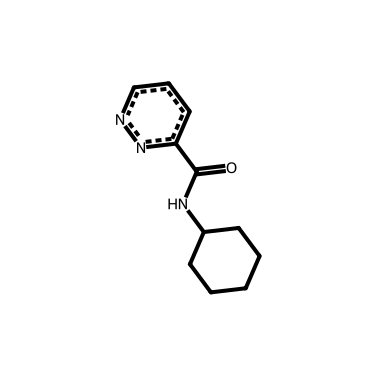 O=C(NC1CCCCC1)c1cccnn1